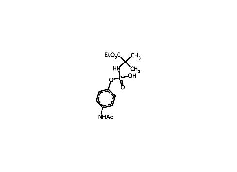 CCOC(=O)C(C)(C)NP(=O)(O)Oc1ccc(NC(C)=O)cc1